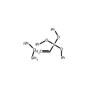 C=C[Si](OC(C)C)(OC(C)C)OC(C)C.CCCO[SiH3]